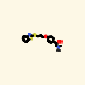 CC(=O)N(C)C[C@H](O)c1ccc(OCCCSc2nc3ccccc3s2)cc1